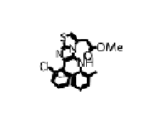 COC(=O)Cc1csc2nc(-c3ccccc3Cl)c(Nc3c(C)cccc3Cl)n12